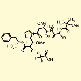 CC[C@H](C)[C@@H]([C@@H](CC(=O)N1CCC[C@H]1[C@H](OC)[C@@H](C)C(=O)N[C@@H](Cc1ccccc1)C(=O)O)OC)N(C)C(=O)[C@@H](NC(=O)C(C)(C)NC)C(C)C.O=C(O)C(F)(F)F